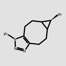 CC(C)[C@H]1C2CCc3nnn(C(C)C)c3CCC21